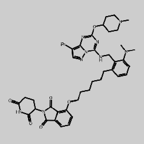 CC(C)c1cnn2c(NCc3c(CCCCCCOc4cccc5c4C(=O)N(C4CCC(=O)NC4=O)C5=O)cccc3N(C)C)nc(OC3CCN(C)CC3)nc12